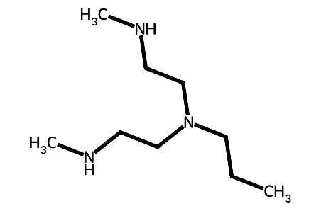 CCCN(CCNC)CCNC